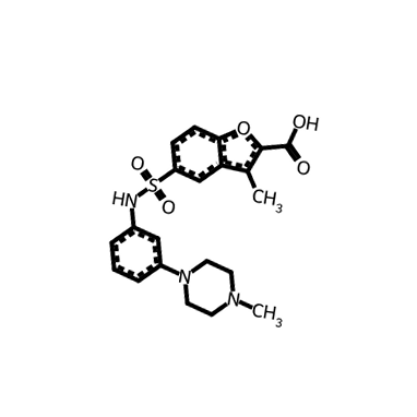 Cc1c(C(=O)O)oc2ccc(S(=O)(=O)Nc3cccc(N4CCN(C)CC4)c3)cc12